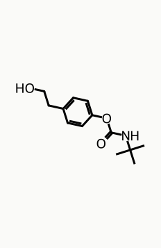 CC(C)(C)NC(=O)Oc1ccc(CCO)cc1